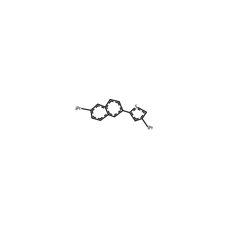 CC(C)c1csc(-c2ccc3cc(C(C)C)ccc3c2)c1